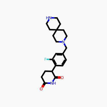 O=C1CCC(c2ccc(CN3CCC4(CCNCC4)CC3)cc2F)C(=O)N1